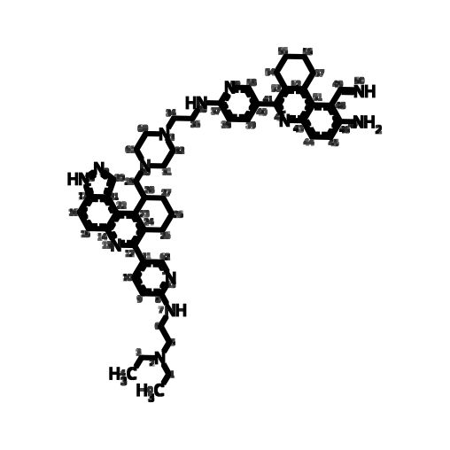 CCN(CC)CCNc1ccc(-c2nc3ccc4[nH]ncc4c3c3c2CCCC3CN2CCN(CCNc3ccc(-c4nc5ccc(N)c(C=N)c5c5c4CCCC5)cn3)CC2)cn1